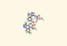 C[C@@H]1CCC[C@H](c2ccc(-c3cc(Cl)ccc3-n3cc(Cl)nn3)n(C)c2=O)c2cc(ccn2)-c2c(cnn2C(F)F)NC1=O